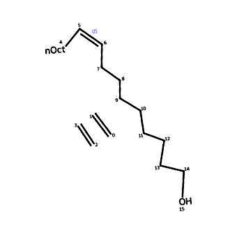 C=C.C=C.CCCCCCCC/C=C\CCCCCCCCO